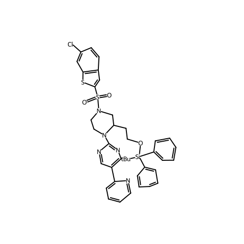 CC(C)(C)[Si](OCCC1CN(S(=O)(=O)c2cc3ccc(Cl)cc3s2)CCN1c1ncc(-c2ccccn2)cn1)(c1ccccc1)c1ccccc1